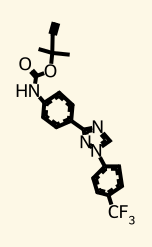 C#CC(C)(C)OC(=O)Nc1ccc(-c2ncn(-c3ccc(C(F)(F)F)cc3)n2)cc1